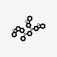 c1ccc(N(c2cccc(N(c3ccc4c(c3)oc3ccccc34)c3ccc4oc5ccccc5c4c3)c2)c2ccc3ccc4oc5ccccc5c4c3c2)cc1